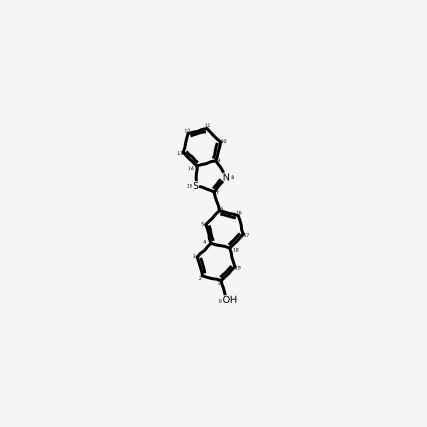 Oc1ccc2cc(-c3nc4ccccc4s3)ccc2c1